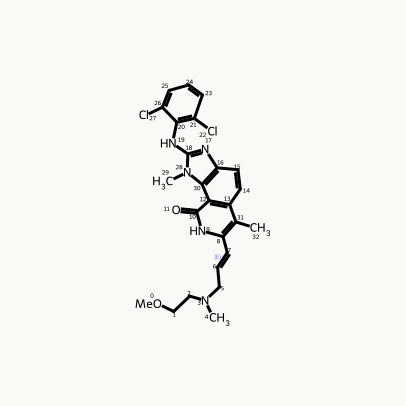 COCCN(C)C/C=C/c1[nH]c(=O)c2c(ccc3nc(Nc4c(Cl)cccc4Cl)n(C)c32)c1C